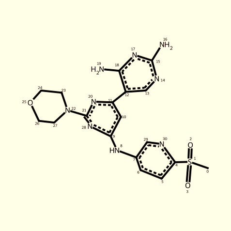 CS(=O)(=O)c1ccc(Nc2cc(-c3cnc(N)nc3N)nc(N3CCOCC3)n2)cn1